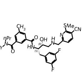 CCCN(CCC)C(=O)c1cc(C)cc(C(=O)N[C@@H](Cc2cc(F)cc(F)c2)[C@H](O)CNCc2ccc(C#N)c(SC)n2)c1